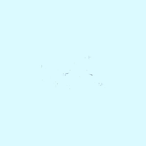 Cc1cn([C@H]2CC(O)[C@@H](CON)O2)c(=O)[nH]c1=O